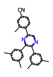 Cc1cc(C)cc(-c2ncc(-c3ccc(C#N)cc3C)nc2-c2cc(C)cc(C)c2)c1